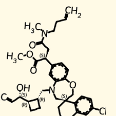 C=CCCN(C)C(=O)C[C@H](C(=O)OC)c1ccc2c(c1)N(C[C@@H]1CC[C@H]1[C@@H](O)C=C)C[C@@]1(CCCc3cc(Cl)ccc31)CO2